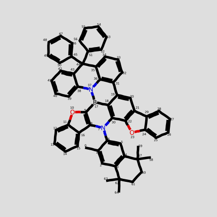 Cc1cc2c(cc1N1c3c(oc4ccccc34)B3c4c(cc5c(oc6ccccc65)c41)-c1cccc4c1N3c1ccccc1C4(c1ccccc1)c1ccccc1)C(C)(C)CCC2(C)C